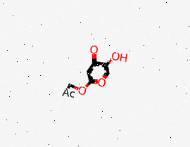 CC(=O)COc1cc(=O)c(O)co1